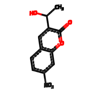 CC(O)c1cc2ccc([N+](=O)[O-])cc2oc1=O